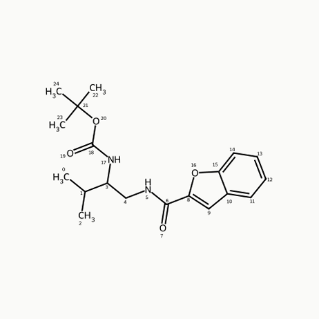 CC(C)C(CNC(=O)c1cc2ccccc2o1)NC(=O)OC(C)(C)C